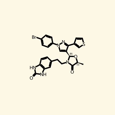 C[C@@H]1O[C@H](c2cn(-c3ccc(Br)cc3)nc2-c2ccsc2)N(CCc2ccc3[nH]c(=O)[nH]c3c2)C1=O